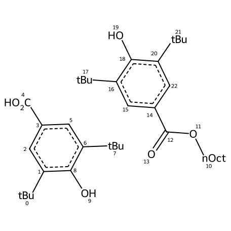 CC(C)(C)c1cc(C(=O)O)cc(C(C)(C)C)c1O.CCCCCCCCOC(=O)c1cc(C(C)(C)C)c(O)c(C(C)(C)C)c1